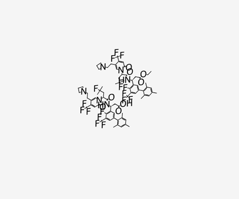 CCOC(=O)C[C@H](NC(=O)C(CC(C)(C)F)n1cc(CCN2CCC2)c(C(F)(F)F)cc1=O)c1cc(-c2c(C)cc(C)cc2C)cc(C(F)(F)F)c1F.Cc1cc(C)c(-c2cc([C@H](CC(=O)O)NC(=O)C(CC(C)(C)F)n3cc(CCN4CCC4)c(C(F)(F)F)cc3=O)c(F)c(C(F)(F)F)c2)c(C)c1